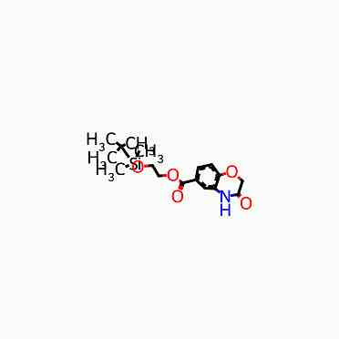 CC(C)(C)[Si](C)(C)OCCOC(=O)c1ccc2c(c1)NC(=O)CO2